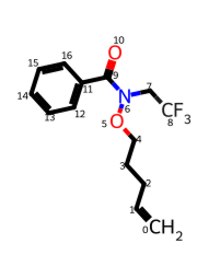 C=CCCCON(CC(F)(F)F)C(=O)c1ccccc1